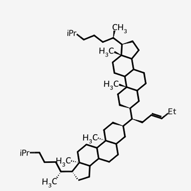 CCC=CC[C@@H]([C@@H]1CC[C@@]2(C)C(CCC3C2CC[C@@]2(C)C3CC[C@@H]2[C@H](C)CCCC(C)C)C1)[C@H]1CC[C@@]2(C)C(CCC3C2CC[C@@]2(C)C3CC[C@@H]2[C@H](C)CCCC(C)C)C1